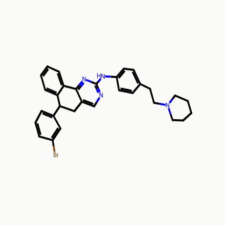 Brc1cccc(C2Cc3cnc(Nc4ccc(CCN5CCCCC5)cc4)nc3-c3ccccc32)c1